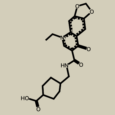 CCn1cc(C(=O)NCC2CCC(C(=O)O)CC2)c(=O)c2cc3c(cc21)OCO3